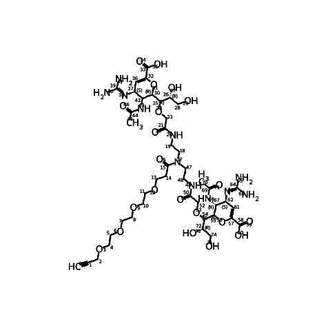 C#CCOCCOCCOCCOCCC(=O)N(CCNC(=O)CO[C@H]([C@H](O)CO)[C@@H]1OC(C(=O)O)=C[C@H](N=C(N)N)C1NC(C)=O)CCNC(=O)CO[C@@H]([C@@H]1OC(C(=O)O)=C[C@H](N=C(N)N)[C@H]1NC(C)=O)[C@H](O)CO